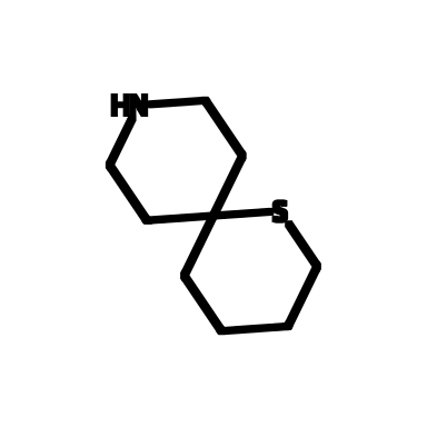 C1CCC2(CCNCC2)SC1